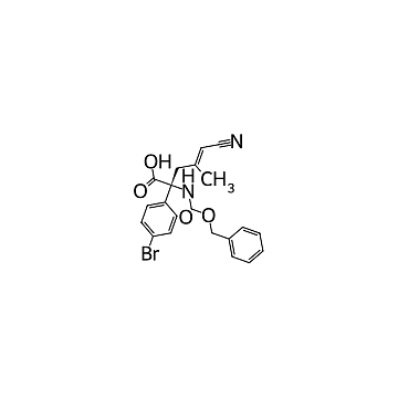 C/C(=C\C#N)C[C@](NC(=O)OCc1ccccc1)(C(=O)O)c1ccc(Br)cc1